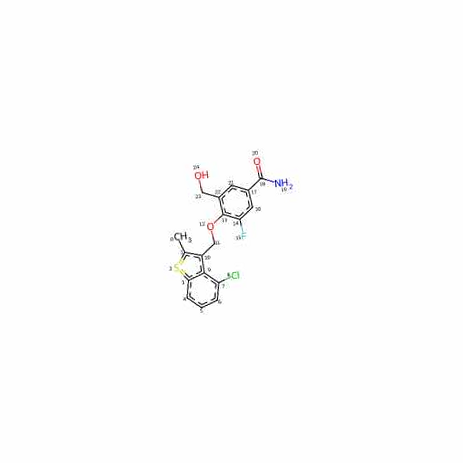 Cc1sc2cccc(Cl)c2c1COc1c(F)cc(C(N)=O)cc1CO